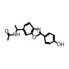 CC(=O)NC(C)c1ccc2nc(-c3ccc(O)cc3)oc2c1